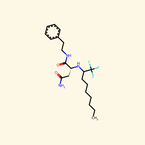 CCCCCCCC(N[C@H](CC(N)=O)C(=O)NCCc1ccccc1)C(F)(F)F